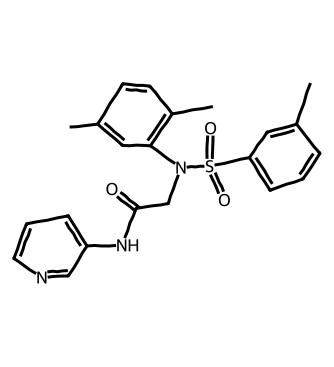 Cc1cccc(S(=O)(=O)N(CC(=O)Nc2cccnc2)c2cc(C)ccc2C)c1